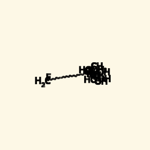 C=C(F)CCCCCCCCCCCCCCCCCCCCCC(=O)N[C@@H](COC1OC(CO)C(O)C(O)C1O)[C@H](O)[C@H](O)CC